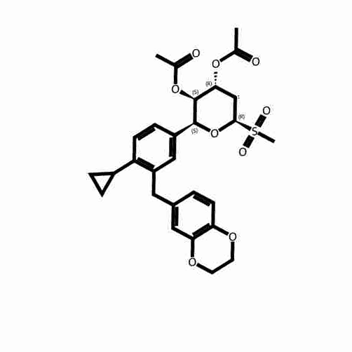 CC(=O)O[C@H]1[C@H](OC(C)=O)[C][C@@H](S(C)(=O)=O)O[C@H]1c1ccc(C2CC2)c(Cc2ccc3c(c2)OCCO3)c1